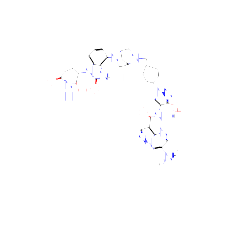 COc1nn([C@H]2CC[C@H](CN3CC4CC3CN4c3cccc4c3n(C)c(=O)n4C3CCC(=O)NC3=O)CC2)cc1NC(=O)c1cnn2cc(N(C)C)cnc12